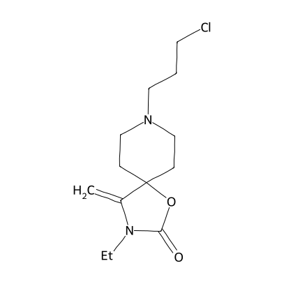 C=C1N(CC)C(=O)OC12CCN(CCCCl)CC2